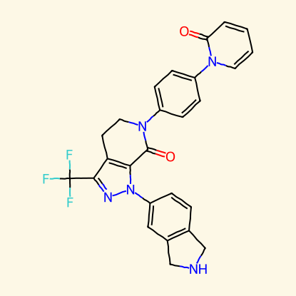 O=C1c2c(c(C(F)(F)F)nn2-c2ccc3c(c2)CNC3)CCN1c1ccc(-n2ccccc2=O)cc1